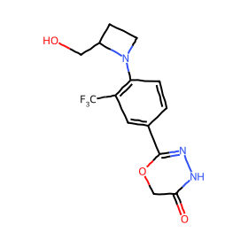 O=C1COC(c2ccc(N3CCC3CO)c(C(F)(F)F)c2)=NN1